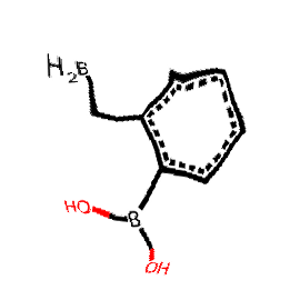 BCc1ccccc1B(O)O